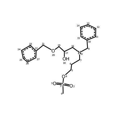 CS(=O)(=O)OCCCN(Cc1ccccc1)CC(O)COCc1ccccc1